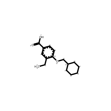 CCc1cc(C(=O)O)ccc1OCC1CCCCC1